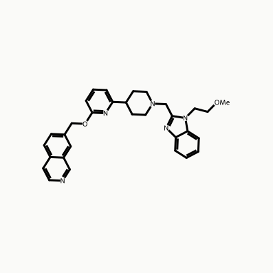 COCCn1c(CN2CCC(c3cccc(OCc4ccc5ccncc5c4)n3)CC2)nc2ccccc21